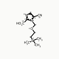 C[Si](C)(C)CCOCn1c(C#N)cnc1C(=O)O